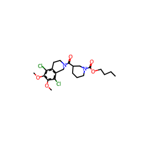 CCCCOC(=O)N1CCCC(C(=O)N2CCc3c(Cl)c(OC)c(OC)c(Cl)c3C2)C1